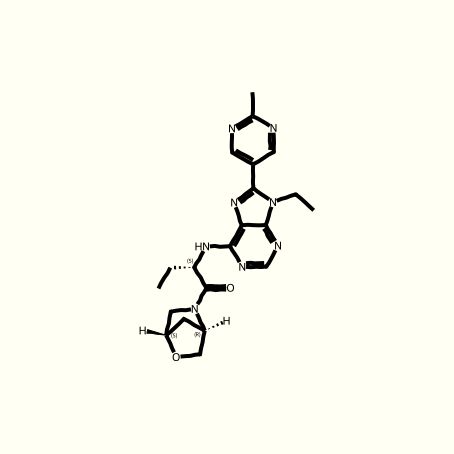 CC[C@H](Nc1ncnc2c1nc(-c1cnc(C)nc1)n2CC)C(=O)N1C[C@@H]2C[C@@H]1CO2